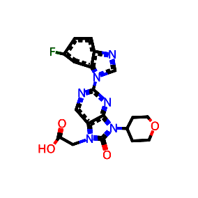 O=C(O)Cn1c(=O)n(C2CCOCC2)c2nc(-n3cnc4ccc(F)cc43)ncc21